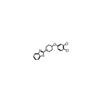 Clc1ccc(OC2CCN(c3nc4ccccc4s3)CC2)cc1Cl